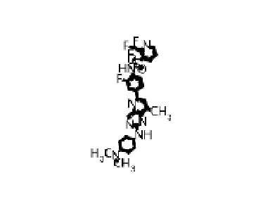 Cc1cc(-c2ccc(NS(=O)(=O)c3cccnc3C(F)(F)F)c(F)c2)nc2cnc(N[C@H]3CC[C@H](N(C)C)CC3)nc12